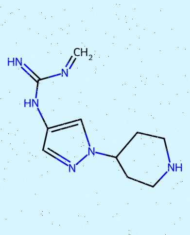 C=NC(=N)Nc1cnn(C2CCNCC2)c1